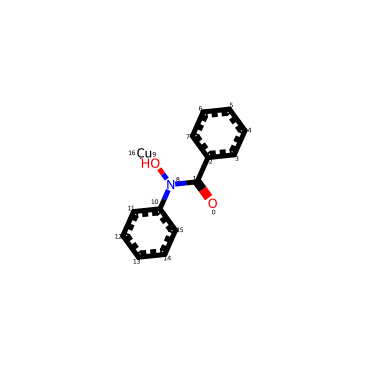 O=C(c1ccccc1)N(O)c1ccccc1.[Cu]